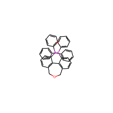 c1ccc(P(c2ccccc2)c2cccc3c2-c2c(cccc2P(c2ccccc2)c2ccccc2)COC3)cc1